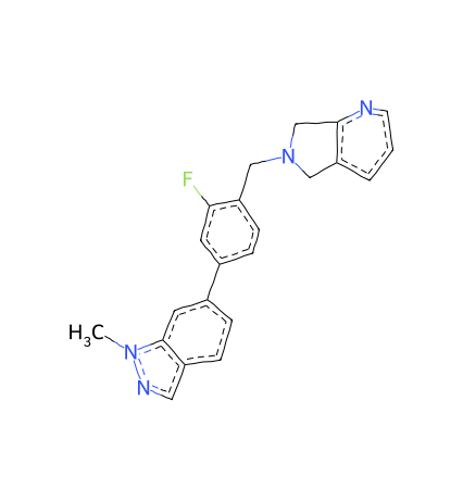 Cn1ncc2ccc(-c3ccc(CN4Cc5cccnc5C4)c(F)c3)cc21